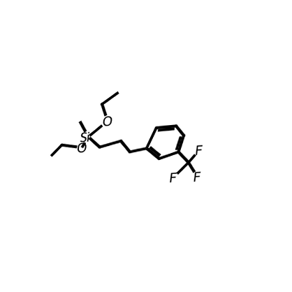 CCO[Si](C)(CCCc1cccc(C(F)(F)F)c1)OCC